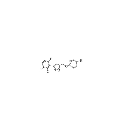 Fc1ccc(F)c(-c2cc(COc3ccc(Br)cn3)on2)c1Cl